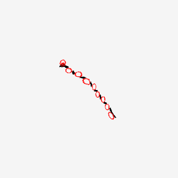 C(COCCOCCOCC1CO1)OCCOCCOCCOCC1CO1